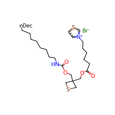 CCCCCCCCCCCCCCCCCCNC(=O)OCC1(COC(=O)CCCCC[n+]2ccsc2)CSC1.[Br-]